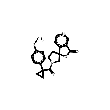 COc1ccc(C2(C(=O)N3CCC4(C3)OC(=O)c3cnccc34)CC2)cc1